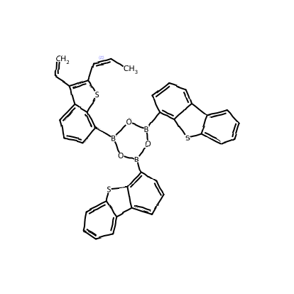 C=Cc1c(/C=C\C)sc2c(B3OB(c4cccc5c4sc4ccccc45)OB(c4cccc5c4sc4ccccc45)O3)cccc12